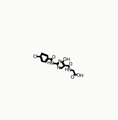 O=C(O)CNC(=O)c1cnc(NC(=O)c2ccc(Cl)cc2)nc1O